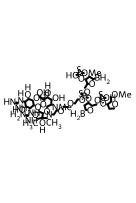 BC1CC(OP(O)(=S)OC)C(COP(=S)(OCCOCCOCCN=C(C)C2(O)C(C)OC(OC3C(O)C(O)C(NC(=N)N)C(O)C3NC(=N)N)C2OC2OC(CO)C(O)C(O)C2NC)OC2CC(B)OC2COP(O)(=S)OC2CCOC2COC)O1